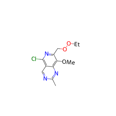 CCOOCc1nc(Cl)c2cnc(C)nc2c1OC